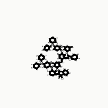 Cc1cc2c3c(c1)-n1c4c(ccc(Cc5cc6c7c(c5)-n5c8c(c9cccc(c95)B7c5ccc(N(c7ccccc7)c7ccccc7)cc5S6)C(C)(C)c5ccccc5-8)c4c4oc5ccccc5c41)B3c1ccc(N(c3ccccc3)c3ccccc3)cc1S2